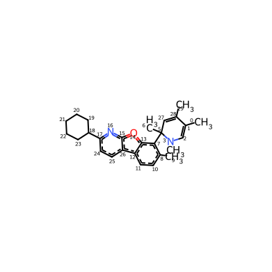 CC1=CN(C)C(C)(c2c(C)ccc3c2oc2nc(C4CCCCC4)ccc23)C=C1C